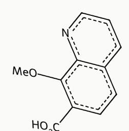 COc1c(C(=O)O)ccc2cccnc12